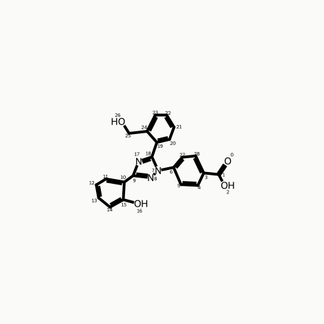 O=C(O)c1ccc(-n2nc(-c3ccccc3O)nc2-c2ccccc2CO)cc1